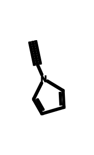 [C]#Cn1cccc1